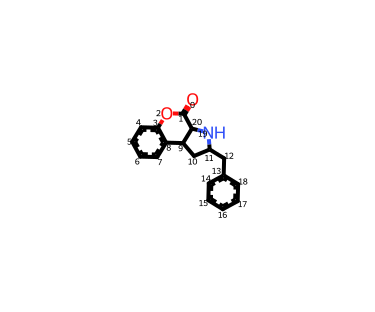 O=C1Oc2ccccc2C2CC(Cc3ccccc3)NC12